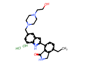 CCc1ccc(-c2cc3cc(CN4CCN(CCO)CC4)ccc3[nH]2)c2c1CNC2=O.Cl.Cl